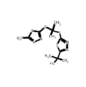 Cc1nnc(SC(C)(C)Sc2nnc(C(C)(C)S)s2)s1